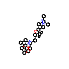 c1ccc(-c2cc(-c3cccc(-c4ccc5c(c4)C4(c6cc(-c7ccccc7-c7ccccc7-c7nc(-c8ccccc8)cc(-c8ccccc8)n7)ccc6O5)c5ccccc5-c5ccccc54)c3)nc(-c3cccc(-c4ccccc4-c4ccc5c(c4)C4(c6ccccc6O5)c5ccccc5-c5ccccc54)c3)n2)cc1